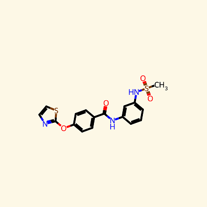 CS(=O)(=O)Nc1cccc(NC(=O)c2ccc(Oc3nccs3)cc2)c1